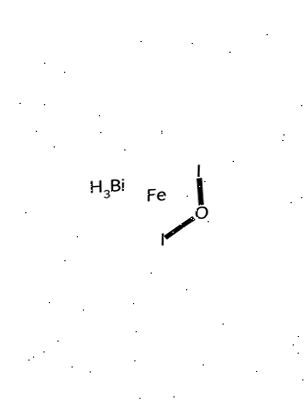 IOI.[BiH3].[Fe]